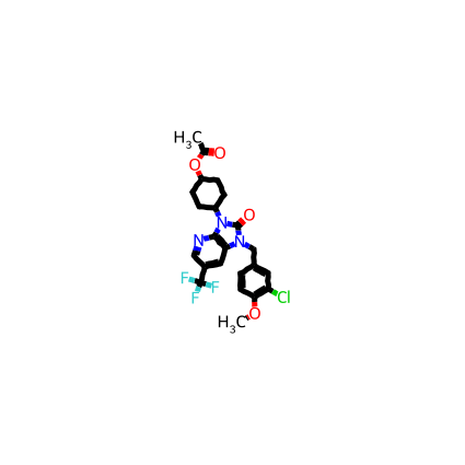 COc1ccc(Cn2c(=O)n(C3CCC(OC(C)=O)CC3)c3ncc(C(F)(F)F)cc32)cc1Cl